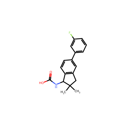 CC1(C)Cc2cc(-c3cccc(F)c3)ccc2C1NC(=O)O